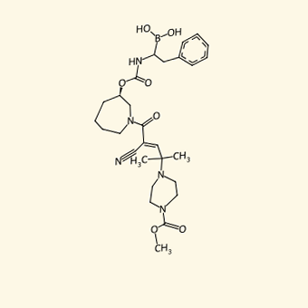 COC(=O)N1CCN(C(C)(C)C=C(C#N)C(=O)N2CCCC[C@@H](OC(=O)NC(Cc3ccccc3)B(O)O)C2)CC1